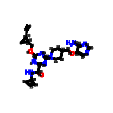 C#C[C@@H]1C[C@@H]1COc1nc(C(=O)NC23CC(C2)C3)nc(N2CCC(COc3cncnc3N)CC2)n1